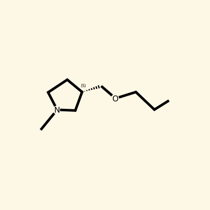 CCCOC[C@H]1CCN(C)C1